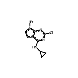 CC(C)n1ccc2c(NC3CC3)nc(Cl)nc21